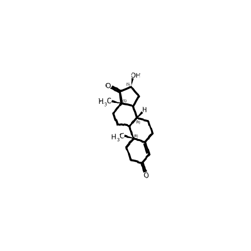 C[C@]12CCC(=O)C=C1CC[C@@H]1C2CC[C@]2(C)C(=O)[C@@H](O)CC12